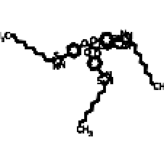 CCCCCCCCCc1nnc(-c2ccc(OC(Oc3ccc(-c4nnc(CCCCCCCCC)s4)cc3)(Oc3ccc(-c4nnc(CCCCCCCCC)s4)cc3)C(=O)OCC(O)CO)cc2)s1